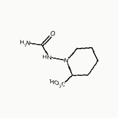 NC(=O)NN1CCCCC1C(=O)O